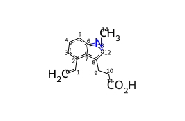 C=Cc1cccc2c1c(CCC(=O)O)cn2C